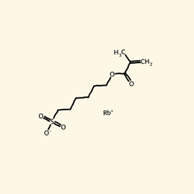 C=C(C)C(=O)OCCCCCCS(=O)(=O)[O-].[Rb+]